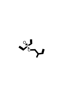 C=CC(C)COP(=O)(C=C)C=C